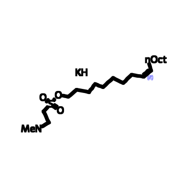 CCCCCCCC/C=C\CCCCCCCCOS(=O)(=O)CCNC.[KH]